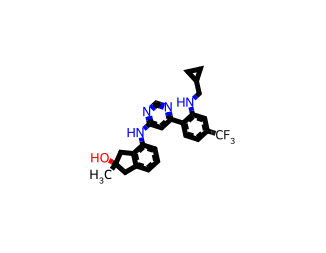 CC1(O)Cc2cccc(Nc3cc(-c4ccc(C(F)(F)F)cc4NCC4CC4)ncn3)c2C1